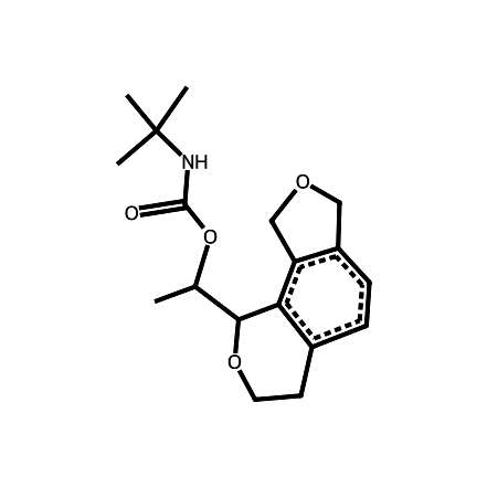 CC(OC(=O)NC(C)(C)C)C1OCCc2ccc3c(c21)COC3